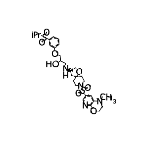 CC(C)S(=O)(=O)c1cccc(OCC(O)CN[C@H]2COC3(CCN(S(=O)(=O)c4cnc5c(c4)N(C)CCO5)CC3)C2)c1